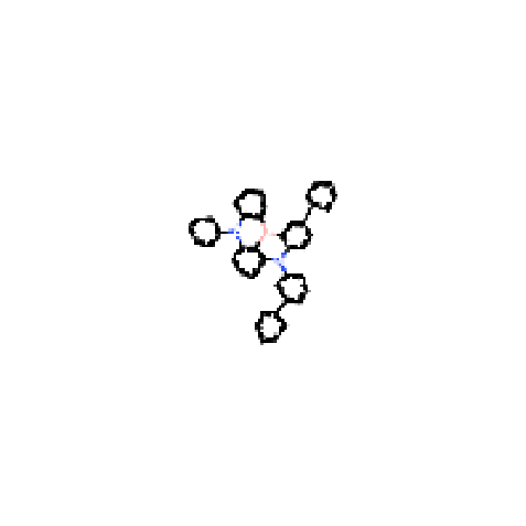 c1ccc(-c2cccc(N3c4ccc(-c5ccccc5)cc4B4c5ccccc5N(c5ccccc5)c5cccc3c54)c2)cc1